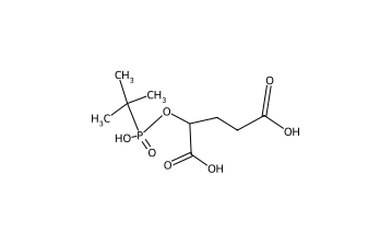 CC(C)(C)P(=O)(O)OC(CCC(=O)O)C(=O)O